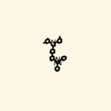 Cc1cccc(-c2cc(-c3ccc(-c4cccc(-c5nc(-c6ccccc6)nc(-c6ccccc6)n5)c4)cc3)cc(-c3cccc(C)c3)n2)c1